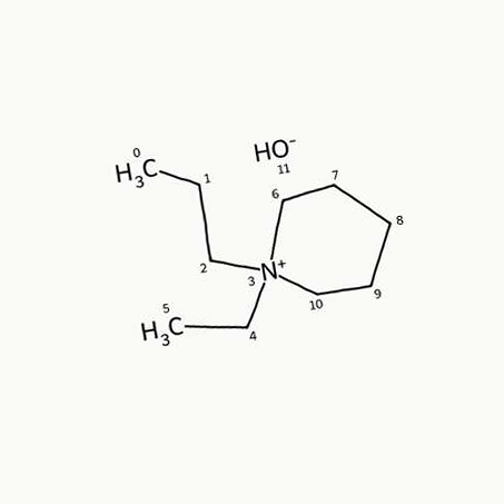 CCC[N+]1(CC)CCCCC1.[OH-]